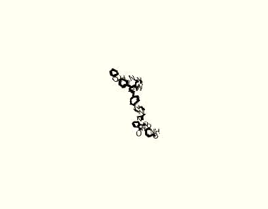 Nc1ncnn2c(C3CCC(N4CCN(CC5CN(c6cccc7c6C(=O)N(C6CCC(=O)NC6=O)C7=O)C5)CC4)CC3)cc(-c3ccc(Oc4ccccc4)cc3)c12